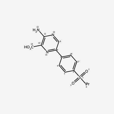 CC(C)S(=O)(=O)c1ccc(-c2cnc(N)c(C(=O)O)n2)cc1